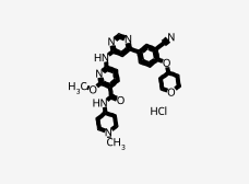 COc1nc(Nc2cc(-c3ccc(OC4CCOCC4)c(C#N)c3)ncn2)ccc1C(=O)NC1CCN(C)CC1.Cl